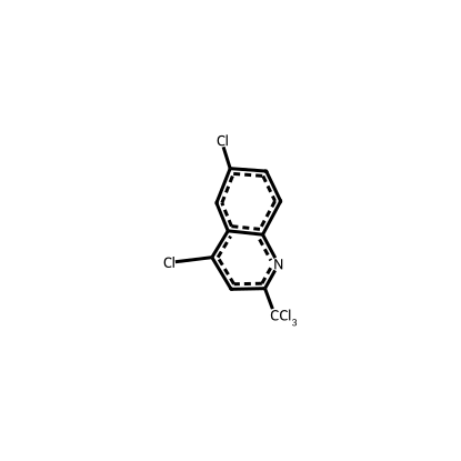 Clc1ccc2nc(C(Cl)(Cl)Cl)cc(Cl)c2c1